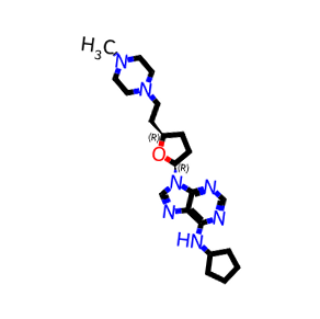 CN1CCN(CC[C@H]2CC[C@H](n3cnc4c(NC5CCCC5)ncnc43)O2)CC1